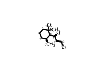 C=C1CCCC(C)(CC)C1C(=O)/C=C/CC